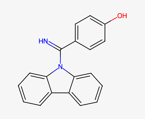 N=C(c1ccc(O)cc1)n1c2ccccc2c2ccccc21